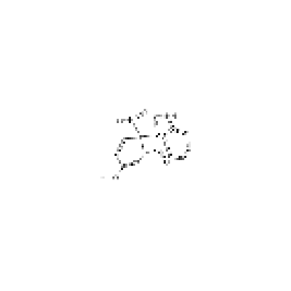 COC1=CC(C=O)C(c2c[nH]c3ccccc23)([N+](=O)[O-])C=C1